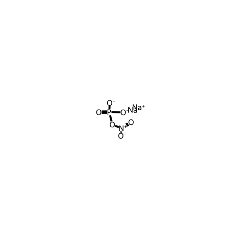 O=[N+]([O-])OP(=O)([O-])[O-].[Na+].[Na+]